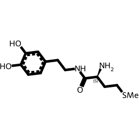 CSCC[C@H](N)C(=O)NCCc1ccc(O)c(O)c1